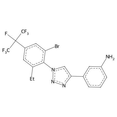 CCc1cc(C(F)(C(F)(F)F)C(F)(F)F)cc(Br)c1-n1cc(-c2cccc(N)c2)nn1